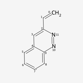 C=Cc1cc2cc[c]cc2nn1